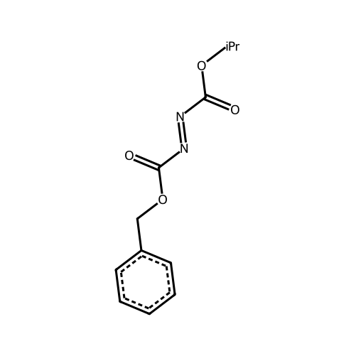 CC(C)OC(=O)/N=N/C(=O)OCc1ccccc1